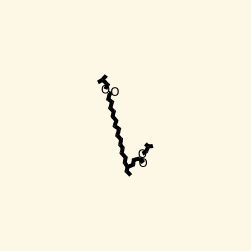 CCC(CCCCCCCCCCCCCCCC(=O)OCC(C)C)CCC(=O)OCC(C)C